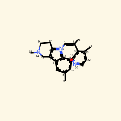 C/C(=C/n1c2c(c3cc(C)ccc31)CN(C)CC2)c1cnccc1C